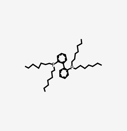 CCCCCCCP(CCCCCCC)c1ccccc1-c1ccccc1P(CCCCCCC)CCCCCCC